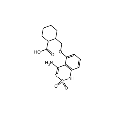 NC1=NS(=O)(=O)Nc2cccc(OCC3CCCCN3C(=O)O)c21